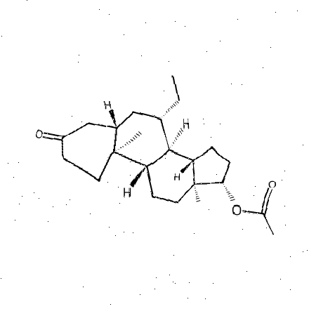 CC[C@H]1C[C@H]2CC(=O)CC[C@]2(C)[C@H]2CC[C@]3(C)[C@@H](OC(C)=O)CC[C@H]3[C@H]12